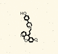 COc1ccc2c(c1)/C(=C/CCN1CCC(c3ccc(O)cc3)CC1)c1cccnc1CO2